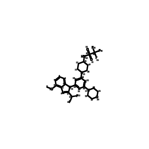 COc1cccc2c1nc(C(F)F)n2-c1nc(N2CCOCC2)nc(N2CCC(NS(=O)(=O)C(F)(F)F)CC2)n1